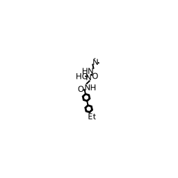 CCc1ccc(-c2ccc(C(=O)NCCN(O)C(=O)NCCN(C)C)cc2)cc1